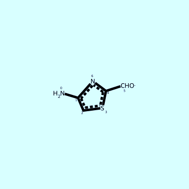 Nc1csc([C]=O)n1